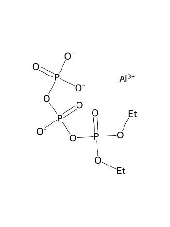 CCOP(=O)(OCC)OP(=O)([O-])OP(=O)([O-])[O-].[Al+3]